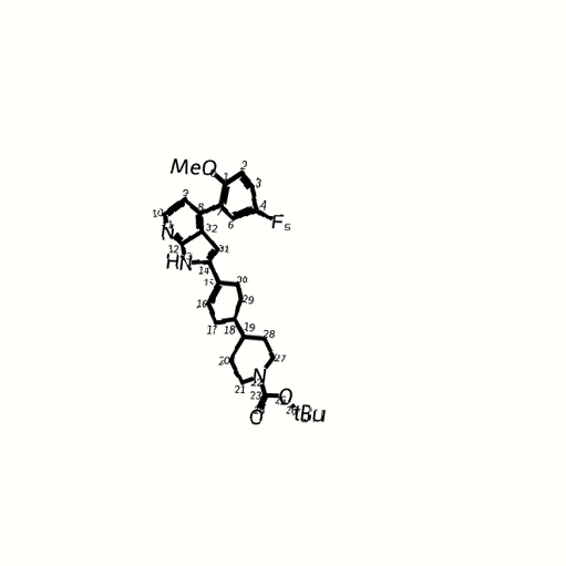 COc1ccc(F)cc1-c1ccnc2[nH]c(C3=CCC(C4CCN(C(=O)OC(C)(C)C)CC4)CC3)cc12